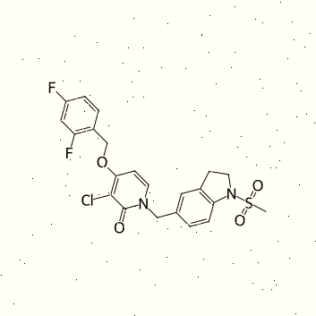 CS(=O)(=O)N1CCc2cc(Cn3ccc(OCc4ccc(F)cc4F)c(Cl)c3=O)ccc21